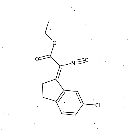 [C-]#[N+]/C(C(=O)OCC)=C1/CCc2ccc(Cl)cc21